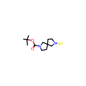 CC(C)(C)OC(=O)N1CCC2(CCN(S)C2)C1